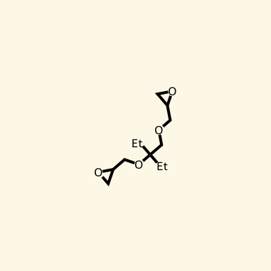 CCC(CC)(COCC1CO1)OCC1CO1